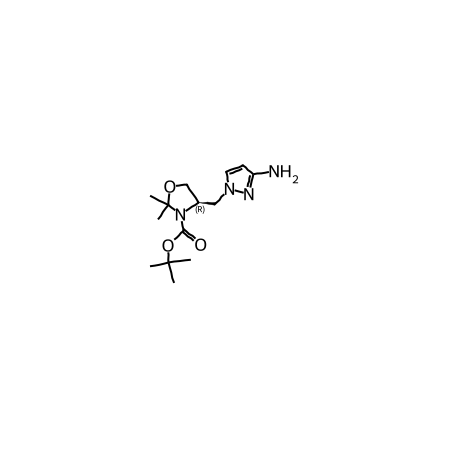 CC(C)(C)OC(=O)N1[C@H](Cn2ccc(N)n2)COC1(C)C